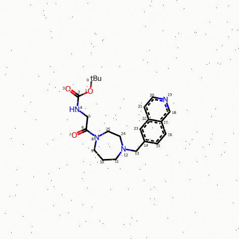 CC(C)(C)OC(=O)NCC(=O)N1CCCN(Cc2ccc3cnccc3c2)CC1